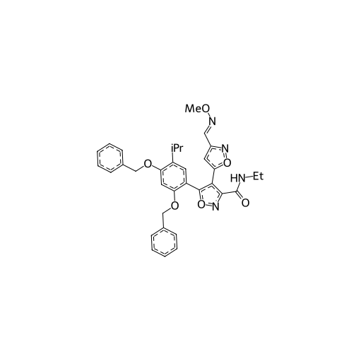 CCNC(=O)c1noc(-c2cc(C(C)C)c(OCc3ccccc3)cc2OCc2ccccc2)c1-c1cc(/C=N/OC)no1